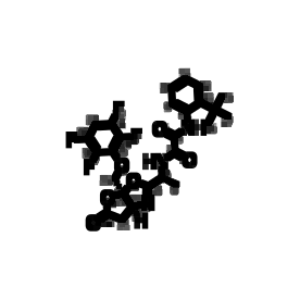 C[C@H](NC(=O)C(=O)Nc1ccccc1C(C)(C)C)C1=N[C@H]2CC(=O)O[C@@]2(COc2c(F)c(F)cc(F)c2F)O1